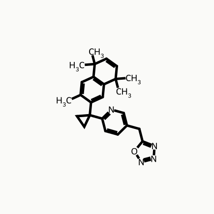 Cc1cc2c(cc1C1(c3ccc(Cc4nnno4)cn3)CC1)C(C)(C)C=CC2(C)C